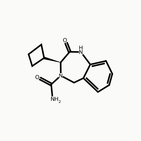 NC(=O)N1Cc2ccccc2NC(=O)[C@@H]1C1CCC1